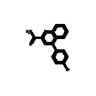 NC(=O)c1cc(-c2ccc(Br)cc2)c2ccccc2n1